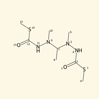 CSC(=O)NN(C)C(C)N(C)NC(=O)SC